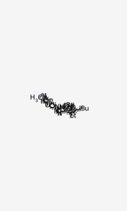 C/C=N\N1C=CC(Oc2ccc(Nc3ncnc4cc(OCC(CC)N(CCCC(C)CC)C(=O)OC(C)(C)C)c(C)nc34)cc2C)=CC1